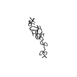 CC(C)OC(=O)CCC(=O)O[C@H]1CC[C@H]2[C@@H]3CC[C@@H]4CC(O[Si](C)(C)C(C)(C)C)CC[C@]4(C)[C@H]3CC[C@]12C